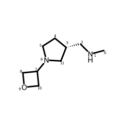 CNC[C@H]1CCN(C2COC2)C1